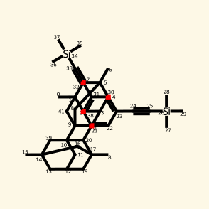 CC12CC3CC(C)(C1)CC(C14CC5CC(C)(CC(C)(C5)C1c1cc(C#C[Si](C)(C)C)cc(C#C[Si](C)(C)C)c1)C4)(C3)C2